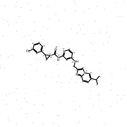 CC(C)c1ccc2nc(CNc3ccnc(NC(=O)[C@H]4CC4c4cccc(Cl)c4)c3)cn2c1